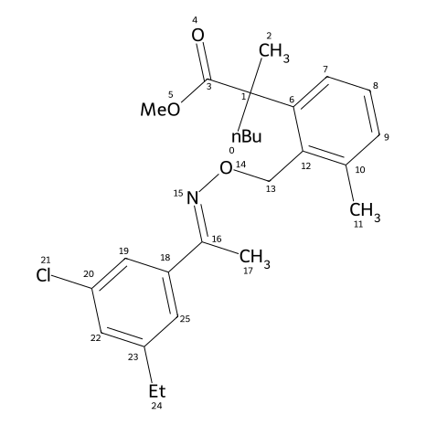 CCCCC(C)(C(=O)OC)c1cccc(C)c1CO/N=C(\C)c1cc(Cl)cc(CC)c1